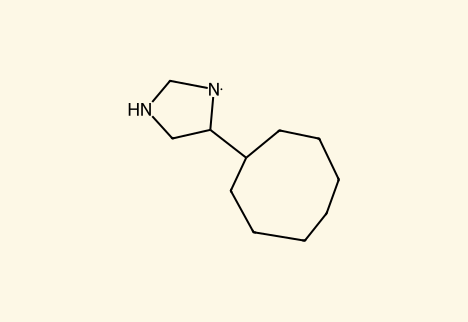 C1CCCC(C2CNC[N]2)CCC1